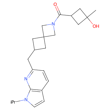 CC(C)n1ccc2ccc(CC3CC4(C3)CN(C(=O)C3CC(C)(O)C3)C4)nc21